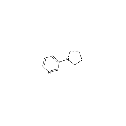 [CH]1CCN(c2cccnc2)C1